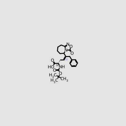 CC(C)(C)OC(=O)N[C@@H](C/C=C(/Cc1ccccc1)C1CCCCc2noc(=O)n21)C(=O)O